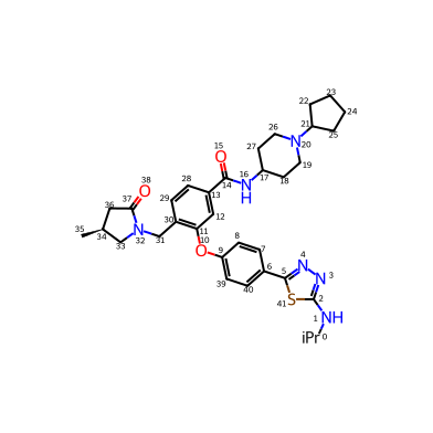 CC(C)Nc1nnc(-c2ccc(Oc3cc(C(=O)NC4CCN(C5CCCC5)CC4)ccc3CN3C[C@@H](C)CC3=O)cc2)s1